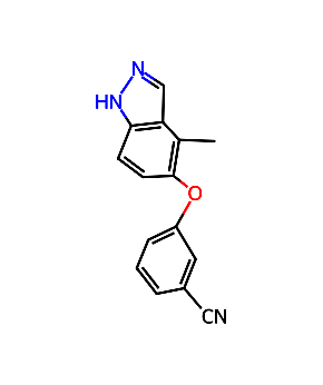 Cc1c(Oc2cccc(C#N)c2)ccc2[nH]ncc12